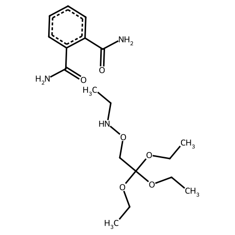 CCNOCC(OCC)(OCC)OCC.NC(=O)c1ccccc1C(N)=O